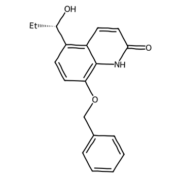 CC[C@H](O)c1ccc(OCc2ccccc2)c2[nH]c(=O)ccc12